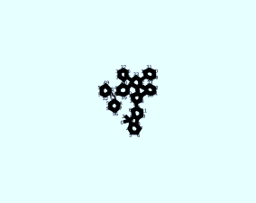 CC1(C)c2ccccc2-c2ccc(-c3ccc4c(c3)c3ccccc3c3c(-c5ccccc5)cc(-c5ccccc5)c(-c5ccc(N(c6ccccc6)c6ccccc6)cc5)c43)cc21